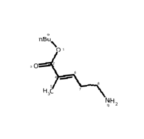 CCCCOC(=O)C(C)=CCCN